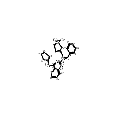 O=S1(=O)CCC(N(Cc2ccccc2)c2nc(NC3CCCC3)c3ccccc3n2)C1